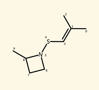 CC(C)=CSN1CCC1C